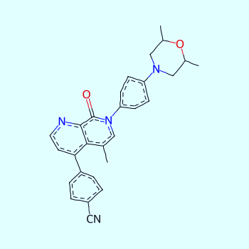 Cc1cn(-c2ccc(N3CC(C)OC(C)C3)cc2)c(=O)c2nccc(-c3ccc(C#N)cc3)c12